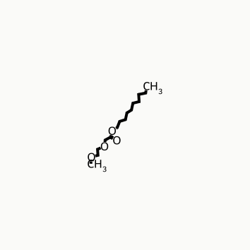 CCCCCCCCCCOC(=O)COCCOC